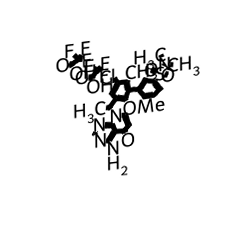 COc1c(C(C)n2ccc(=O)c3c(N)ncnc32)cc(Cl)c(C)c1-c1cccc(S(=O)(=O)N(C)C)c1.O=C(O)C(F)(F)F.O=C(O)C(F)(F)F